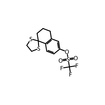 O=S(=O)(Oc1ccc2c(c1)CCCC21SCCS1)C(F)(F)F